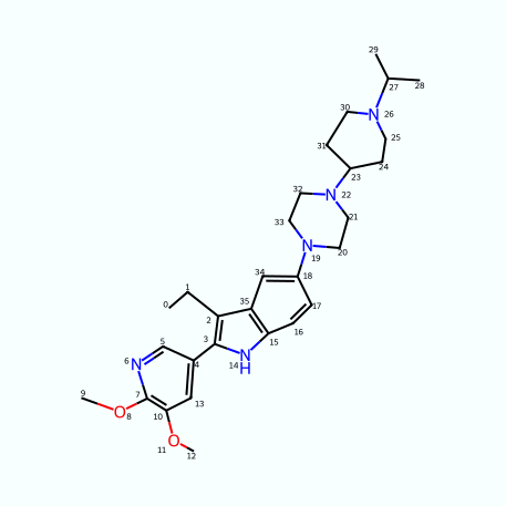 CCc1c(-c2cnc(OC)c(OC)c2)[nH]c2ccc(N3CCN(C4CCN(C(C)C)CC4)CC3)cc12